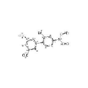 CCON(C=O)c1ccc(-c2nc(C(Cl)(Cl)Cl)nc(C(Cl)(Cl)Cl)n2)c(Br)c1